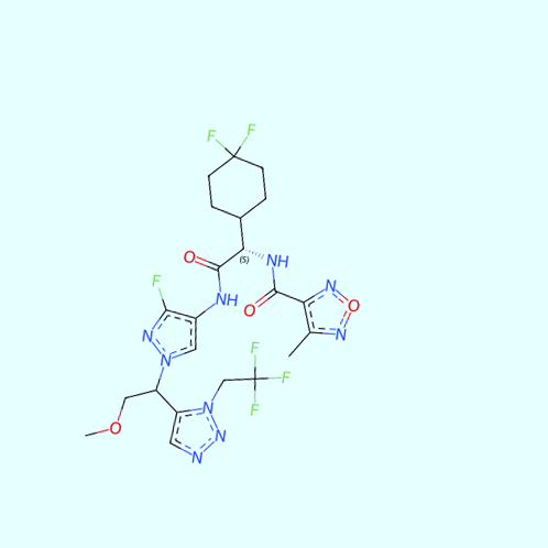 COCC(c1cnnn1CC(F)(F)F)n1cc(NC(=O)[C@@H](NC(=O)c2nonc2C)C2CCC(F)(F)CC2)c(F)n1